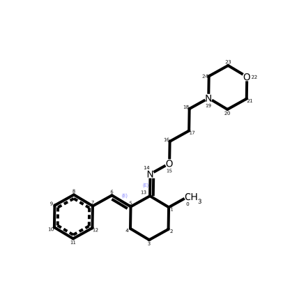 CC1CCCC(=C\c2ccccc2)/C1=N/OCCCN1CCOCC1